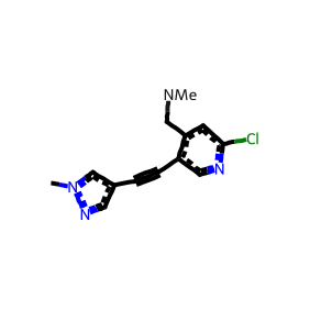 CNCc1cc(Cl)ncc1C#Cc1cnn(C)c1